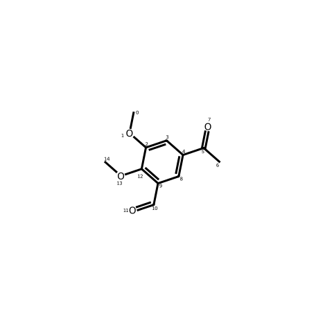 COc1cc(C(C)=O)cc(C=O)c1OC